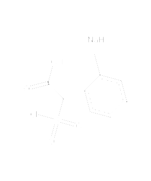 Cc1ccccc1.O=C(O)CS(=O)(=O)Cl.[NaH]